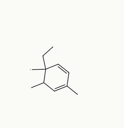 [CH2]C1(CC)C=CC(C)=CC1C